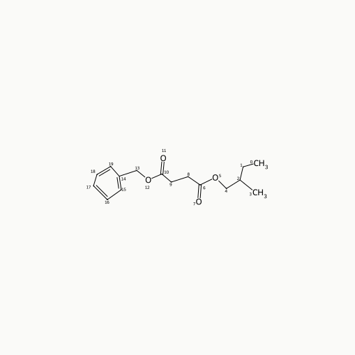 CCC(C)COC(=O)CCC(=O)OCc1ccccc1